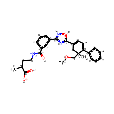 COCC1(C)CC(c2nc(-c3cccc(C(=O)NCCC(C)C(=O)O)c3)no2)=CC=C1c1ccccc1